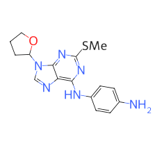 CSc1nc(Nc2ccc(N)cc2)c2ncn(C3CCCO3)c2n1